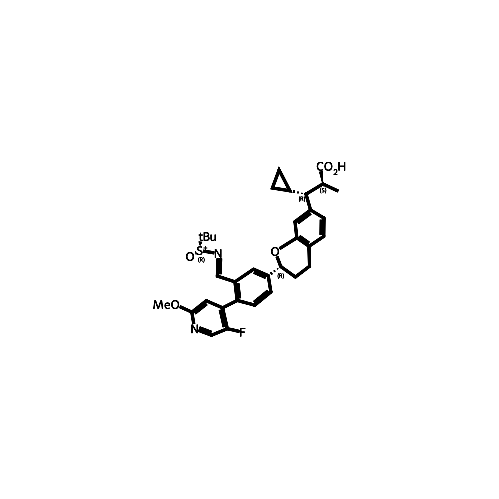 COc1cc(-c2ccc([C@H]3CCc4ccc([C@H](C5CC5)[C@H](C)C(=O)O)cc4O3)cc2C=N[S@@+]([O-])C(C)(C)C)c(F)cn1